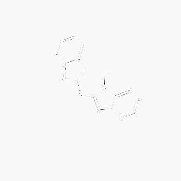 Cn1c(Nc2cc3ccccc3n2C)cc2ccccc21